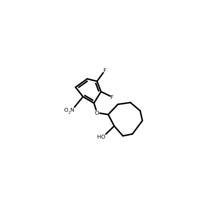 O=[N+]([O-])c1ccc(F)c(F)c1OC1CCCCCCC1O